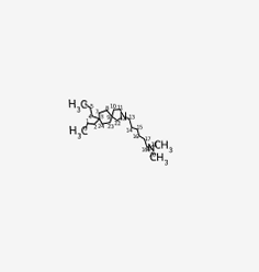 CCCC1(CCC)CCC2(CCN(CCCCCCN(C)C)C2)CC1